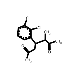 CC(=O)CC(c1cccc(Cl)c1Cl)C(C)C(C)=O